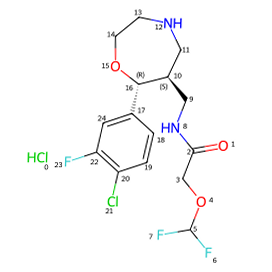 Cl.O=C(COC(F)F)NC[C@@H]1CNCCO[C@H]1c1ccc(Cl)c(F)c1